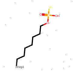 CCCCCCCCCCCCCCOP(=O)(O)S